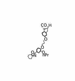 CCCOc1cc(-c2nc3c(o2)CCCC3)ccc1OCCCOc1ccc2c(c1)CC[C@H]2CC(=O)O